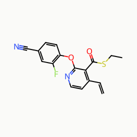 C=Cc1ccnc(Oc2ccc(C#N)cc2F)c1C(=O)SCC